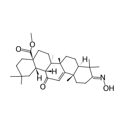 COC(=O)[C@]12CCC(C)(C)C[C@H]1[C@H]1C(=O)C=C3[C@@]4(C)CC/C(=N\O)C(C)(C)[C@@H]4CC[C@@]3(C)[C@]1(C)CC2